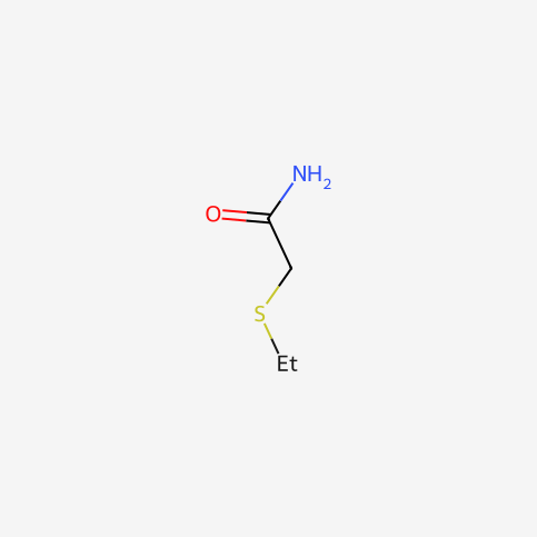 CCSCC(N)=O